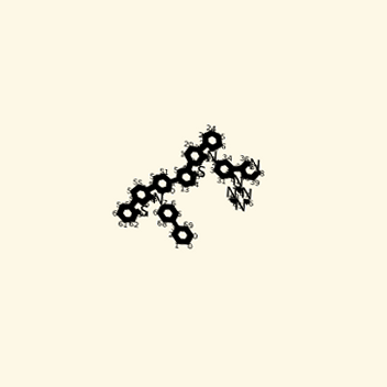 c1ccc(-c2ccc(-n3c4cc(-c5ccc6sc7c(ccc8c9ccccc9n(-c9ccc%10c(c9)c9cnccc9n%10-c9ncncn9)c87)c6c5)ccc4c4ccc5c6ccccc6sc5c43)cc2)cc1